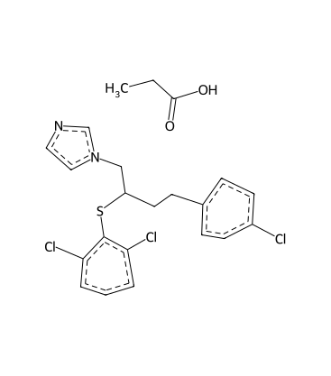 CCC(=O)O.Clc1ccc(CCC(Cn2ccnc2)Sc2c(Cl)cccc2Cl)cc1